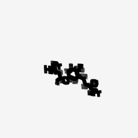 CC(C)NCC(C)Oc1ccc(F)c(CCC(=O)C(C)C)c1